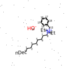 CCCCCCCCCCCCCCCCCC[N+](CC)(CC)Cc1ccccc1.[OH-]